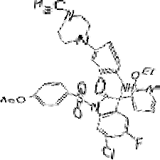 CCOc1ncccc1C1(Nc2ccc(N3CCN(C)CC3)cc2)C(=O)N(S(=O)(=O)c2ccc(OC)cc2)c2cc(Cl)c(F)cc21